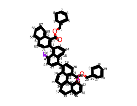 O=C(OCc1ccccc1)c1c(-c2cccc3c(-c4ccc(C(=O)OCc5ccccc5)c5c4ccc4ccc6cccc(I)c6c45)ccc(I)c23)ccc2ccccc12